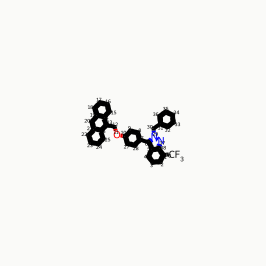 FC(F)(F)c1cccc2c(-c3ccc(OCc4c5ccccc5cc5ccccc45)cc3)n(Cc3ccccc3)nc12